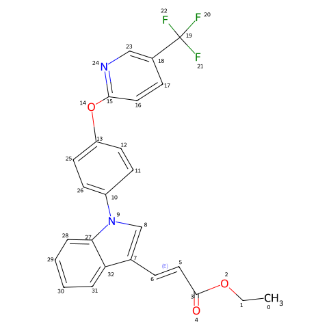 CCOC(=O)/C=C/c1cn(-c2ccc(Oc3ccc(C(F)(F)F)cn3)cc2)c2ccccc12